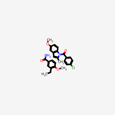 CCc1cc(C(N)=O)ccc1OC.COc1ccc2c(c1)cc(C)n2C(=O)c1ccc(Cl)cc1